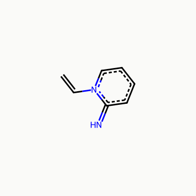 C=Cn1ccccc1=N